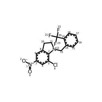 O=[N+]([O-])c1cc(Cl)c2c(c1)CCN2Cc1ccccc1C(F)(F)F